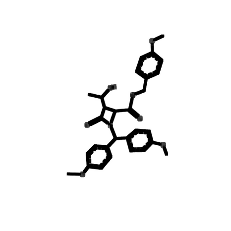 COc1ccc(COC(=O)C2C(C(C)O)C(=O)N2C(c2ccc(OC)cc2)c2ccc(OC)cc2)cc1